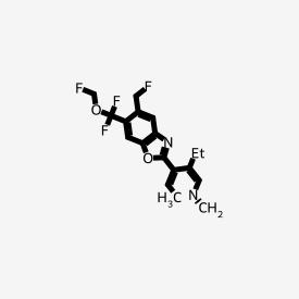 C=N/C=C(CC)\C(=C/C)c1nc2cc(CF)c(C(F)(F)OCF)cc2o1